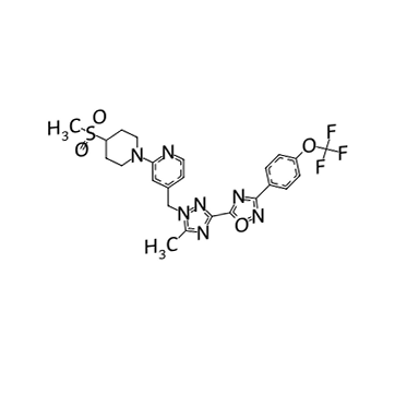 Cc1nc(-c2nc(-c3ccc(OC(F)(F)F)cc3)no2)nn1Cc1ccnc(N2CCC(S(C)(=O)=O)CC2)c1